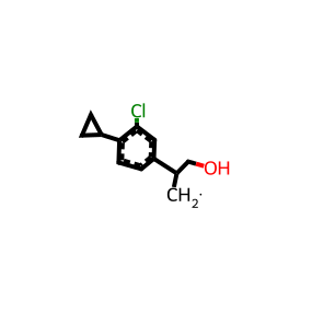 [CH2]C(CO)c1ccc(C2CC2)c(Cl)c1